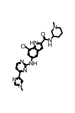 CN1CCCC(NC(=O)c2cc3cc(Nc4nccc(-c5cn(C)cn5)n4)cc(Cl)c3[nH]2)C1